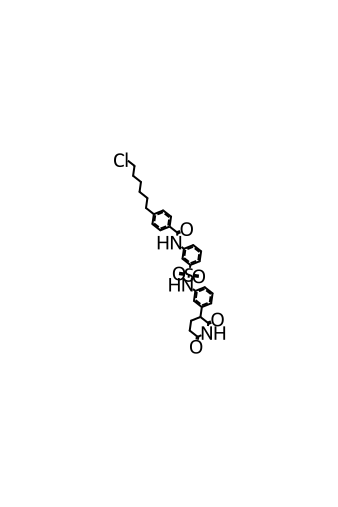 O=C1CCC(c2cccc(NS(=O)(=O)c3cccc(NC(=O)c4ccc(CCCCCCCl)cc4)c3)c2)C(=O)N1